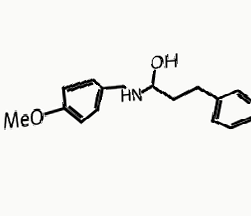 COc1ccc(CNC(O)CCc2ccccc2)cc1